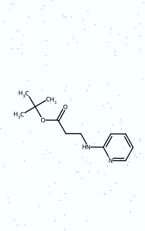 CC(C)(C)OC(=O)CCNc1ccccn1